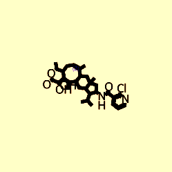 C=C1C2CC3C(C(C)C)C(NC(=O)c4cccnc4Cl)CC3(C)CC2/C(C)=C\CC2C(C)OC(=O)C(O)C12O